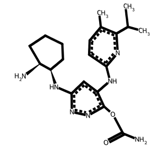 Cc1ccc(Nc2cc(N[C@@H]3CCCC[C@@H]3N)nnc2OC(N)=O)nc1C(C)C